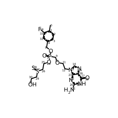 Cc1ccc(COP(=O)(COCCn2cnc3c(=O)[nH]c(N)nc32)OCCS(=S)CCO)cc1F